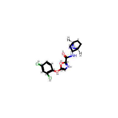 O=C(N[C@@H]1C[C@H]2CC[C@@H]1N2)c1ncc(Oc2ccc(Cl)cc2Cl)o1